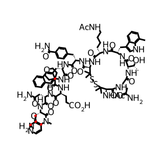 CC(=O)NCCCC[C@@H]1NC(=O)[C@H](Cc2c[nH]c3c(C)cccc23)NC(=O)[C@H]([C@@H](C)O)NC(=O)[C@H](CC(N)=O)NC(=O)[C@@H](NC(C)=O)C(C)(C)SSC(C)(C)[C@@H](C(=O)N[C@@H](Cc2ccc(C(N)=O)cc2)C(=O)N[C@@H](Cc2ccc3ccccc3c2)C(=O)NC2(C(=O)N[C@@H](CCC(=O)O)C(=O)N[C@@H](CC(N)=O)C(=O)N[C@@H](Cc3cccnc3)C(=O)N(C)CC(N)=O)CCOCC2)NC1=O